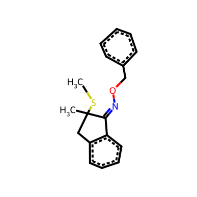 CSC1(C)Cc2ccccc2C1=NOCc1ccccc1